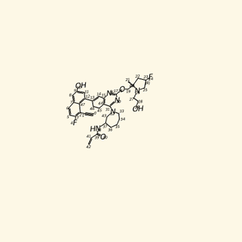 C#Cc1c(F)ccc2cc(O)cc(C3=Cc4nc(OC[C@]5(C)C[C@@H](F)CN5CCO)nc(N5CCCCC(NC(=O)C=C)C5)c4CC3)c12